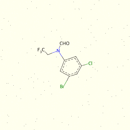 O=CN(CC(F)(F)F)c1cc(Cl)cc(Br)c1